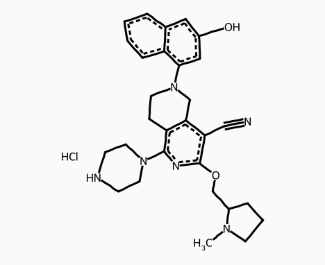 CN1CCCC1COc1nc(N2CCNCC2)c2c(c1C#N)CN(c1cc(O)cc3ccccc13)CC2.Cl